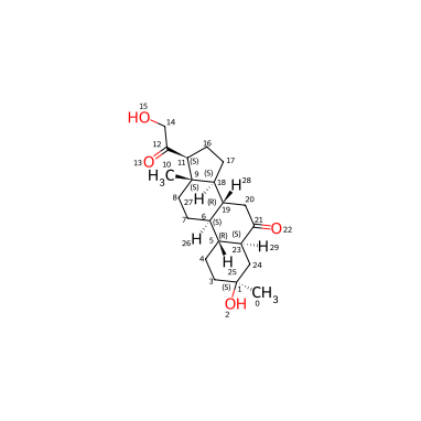 C[C@]1(O)CC[C@@H]2[C@H]3CC[C@]4(C)[C@@H](C(=O)CO)CC[C@H]4[C@@H]3CC(=O)[C@H]2C1